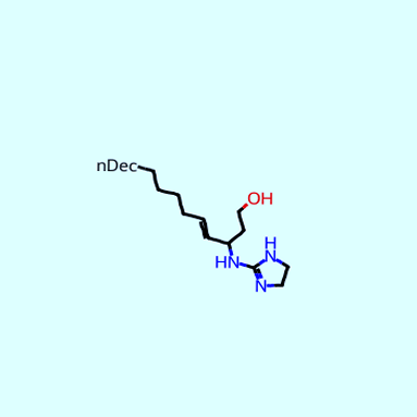 CCCCCCCCCCCCCCC=CC(CCO)NC1=NCCN1